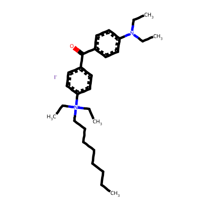 CCCCCCCC[N+](CC)(CC)c1ccc(C(=O)c2ccc(N(CC)CC)cc2)cc1.[I-]